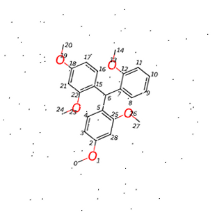 COc1ccc(C(c2ccccc2OC)c2ccc(OC)cc2OC)c(OC)c1